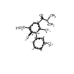 CCOC(=O)c1cc(C(=O)N(C)C)c(C)n(-c2cccc(C(F)(F)F)c2)c1=O